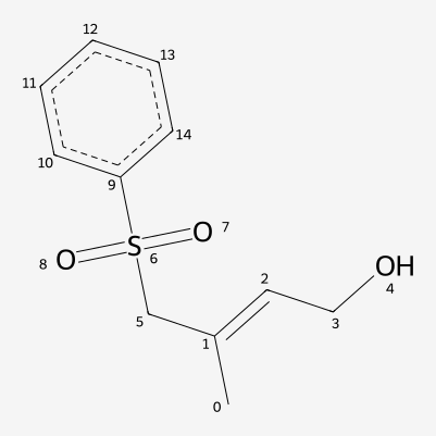 CC(=CCO)CS(=O)(=O)c1ccccc1